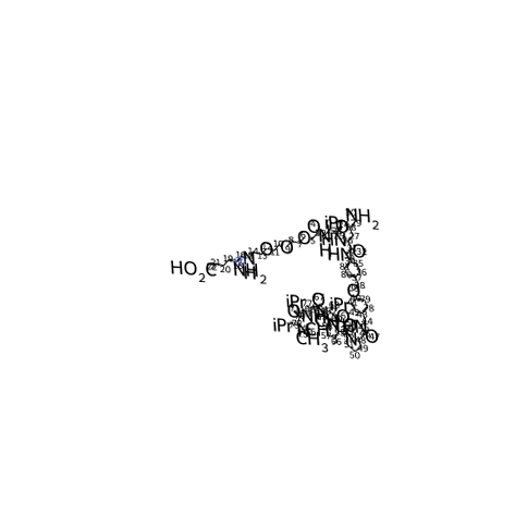 CC(C)C(NC(=O)COCCOCCOCCN/C=C(\N)CCCC(=O)O)C(=O)NC(CCCN)C(=O)Nc1ccc(COc2ccc(CNC(=O)C3CCCN3C(=O)C3CCCN3C(=O)C(C(C)C)N(C)C(=O)C(NC(=O)C(C(C)C)N(C)C)C(C)C)cc2)cc1